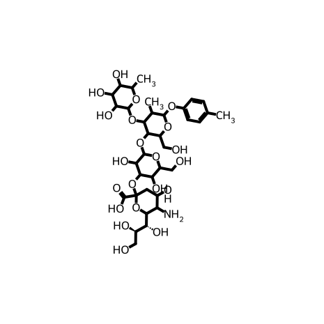 Cc1ccc(OC2OC(CO)C(OC3OC(CO)C(O)C(OC4(C(=O)O)CC(O)C(N)C([C@H](O)[C@H](O)CO)O4)C3O)C(OC3OC(C)C(O)C(O)C3O)C2C)cc1